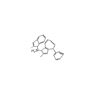 CC1=CC2=C(C=CC=CC2c2ccccc2)C1[SiH2]C1C(C)=Cc2ccccc21